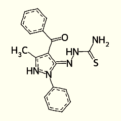 Cc1[nH]n(-c2ccccc2)c(=NNC(N)=S)c1C(=O)c1ccccc1